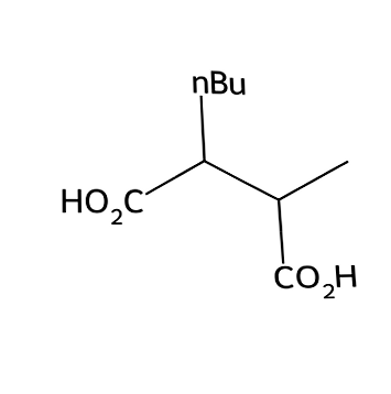 CCCCC(C(=O)O)C(C)C(=O)O